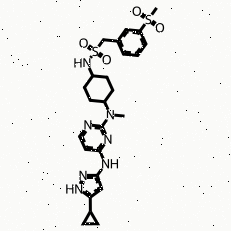 CN(c1nccc(Nc2cc(C3CC3)[nH]n2)n1)C1CCC(NS(=O)(=O)Cc2cccc(S(C)(=O)=O)c2)CC1